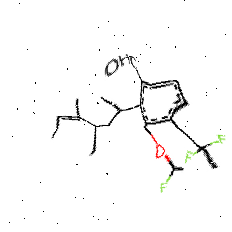 C/C=C(/C)C(C)CC(C)c1c(C=O)ccc(C(C)(F)F)c1OC(C)F